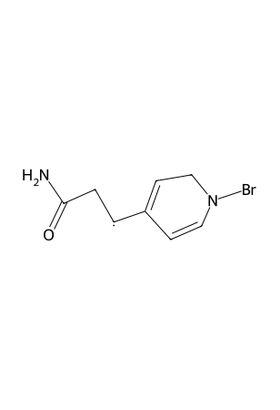 NC(=O)C[CH]C1=CCN(Br)C=C1